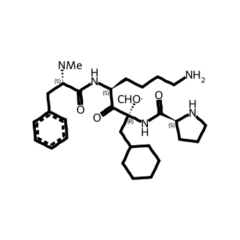 CN[C@@H](Cc1ccccc1)C(=O)N[C@@H](CCCCN)C(=O)[C@]([C]=O)(CC1CCCCC1)NC(=O)[C@@H]1CCCN1